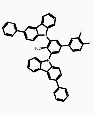 Fc1ccc(-c2cc(-n3c4ccccc4c4cc(-c5ccccc5)ccc43)c(C(F)(F)F)c(-n3c4ccccc4c4cc(-c5ccccc5)ccc43)c2)cc1F